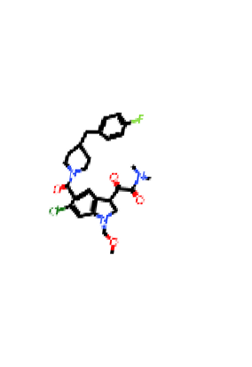 COCN1CC(C(=O)C(=O)N(C)C)c2cc(C(=O)N3CCC(Cc4ccc(F)cc4)CC3)c(Cl)cc21